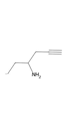 C#CCC(N)C[CH2]